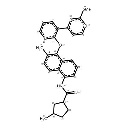 CSc1nccc(-c2cccnc2Oc2c(C)ccc3c(NC(=O)C4CCC(C)C4)cccc23)n1